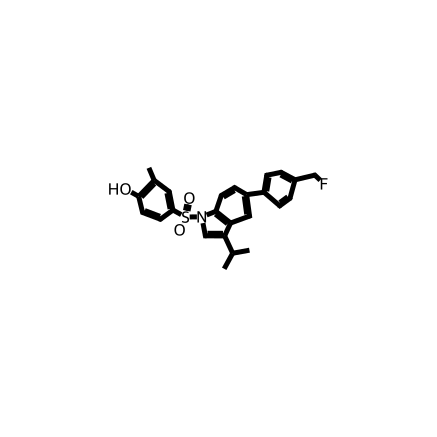 Cc1cc(S(=O)(=O)n2cc(C(C)C)c3cc(-c4ccc(CF)cc4)ccc32)ccc1O